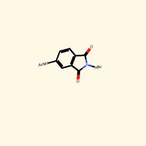 CCCCN1C(=O)c2ccc(NC(C)=O)cc2C1=O